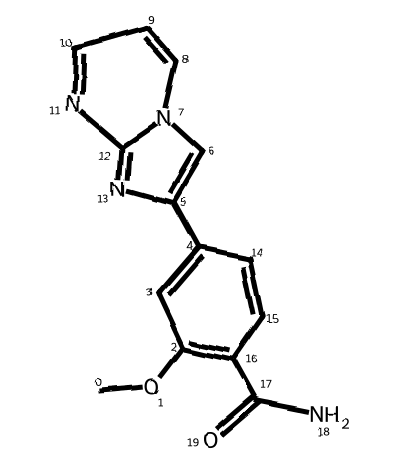 COc1cc(-c2cn3cccnc3n2)ccc1C(N)=O